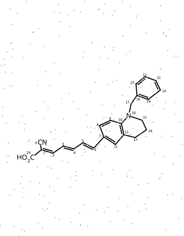 N#C\C(=C/C=C/C=C/c1ccc2c(c1)CCCN2Cc1ccccc1)C(=O)O